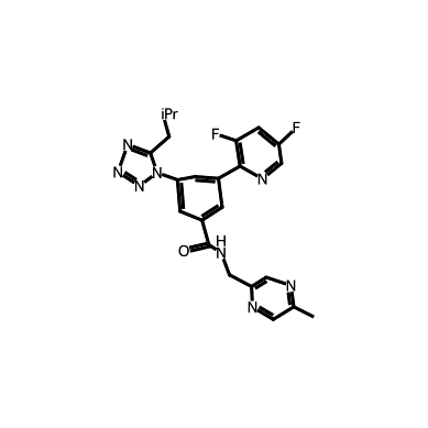 Cc1cnc(CNC(=O)c2cc(-c3ncc(F)cc3F)cc(-n3nnnc3CC(C)C)c2)cn1